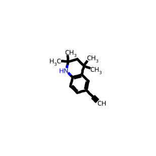 C#Cc1ccc2c(c1)C(C)(C)CC(C)(C)N2